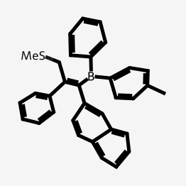 CSC/C(=C(\B(c1ccccc1)c1ccc(C)cc1)c1ccc2ccccc2c1)c1ccccc1